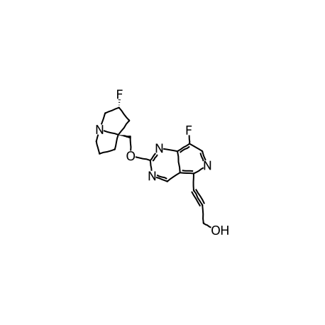 OCC#Cc1ncc(F)c2nc(OC[C@@]34CCCN3C[C@H](F)C4)ncc12